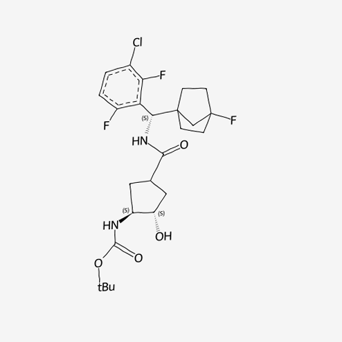 CC(C)(C)OC(=O)N[C@H]1CC(C(=O)N[C@H](c2c(F)ccc(Cl)c2F)C23CCC(F)(CC2)C3)C[C@@H]1O